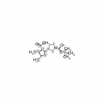 Cc1sc(C2CCN(C(=O)OC(C)(C)C)C2)c(C(=O)O)c1C